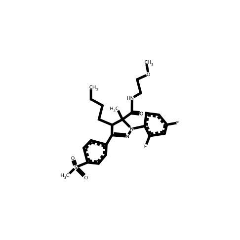 CCCCC1C(c2ccc(S(C)(=O)=O)cc2)=NN(c2ccc(F)cc2F)C1(C)C(=O)NCCOC